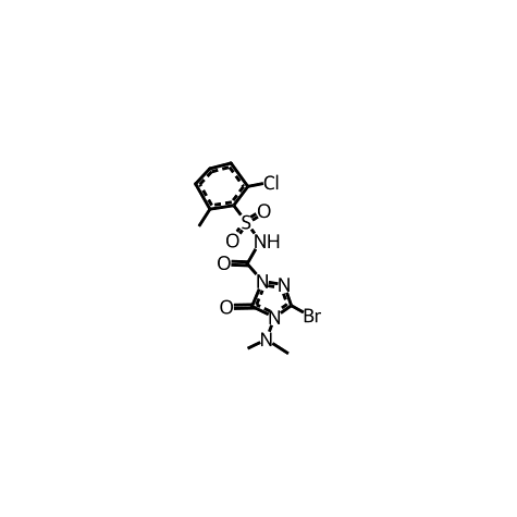 Cc1cccc(Cl)c1S(=O)(=O)NC(=O)n1nc(Br)n(N(C)C)c1=O